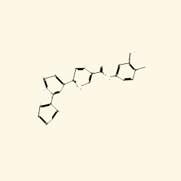 Cc1ccc(NC(=O)c2ccc(-c3cccc(-c4ccccc4)c3)nc2)cc1C